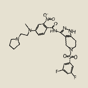 CN(CCN1CCCC1)c1ccc(C(=O)Nc2n[nH]c3c2CN(S(=O)(=O)c2cc(F)cc(F)c2)CC3)c([N+](=O)[O-])c1